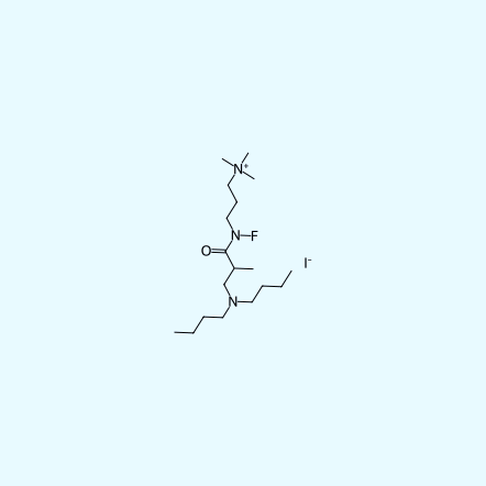 CCCCN(CCCC)CC(C)C(=O)N(F)CCC[N+](C)(C)C.[I-]